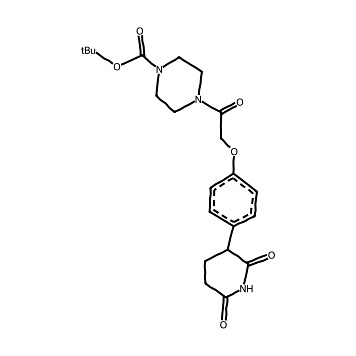 CC(C)(C)OC(=O)N1CCN(C(=O)COc2ccc(C3CCC(=O)NC3=O)cc2)CC1